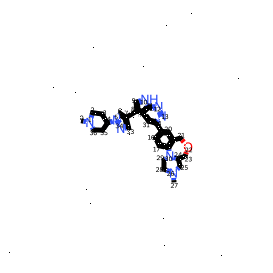 CN1CCC(n2cc(-c3c[nH]c4nnc(-c5ccc6c(c5)COCC5CN(C)CCN65)cc34)cn2)CC1